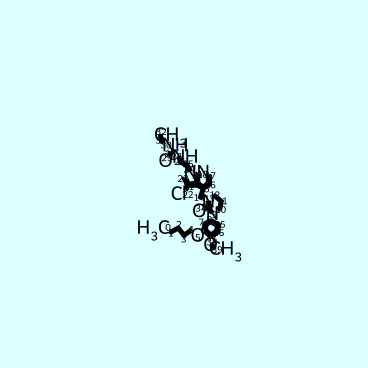 CCCCCOc1cc(N2CCCN(Cc3ccnc4c3c(Cl)cn4CCNC(=O)NCC)C2=O)ccc1OC